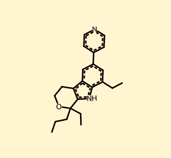 CCCC1(CC)OCCc2c1[nH]c1c(CC)cc(-c3ccncc3)cc21